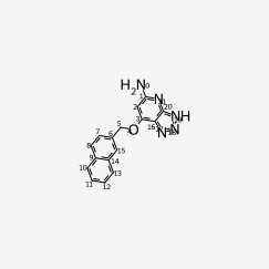 Nc1cc(OCc2ccc3ccccc3c2)c2nn[nH]c2n1